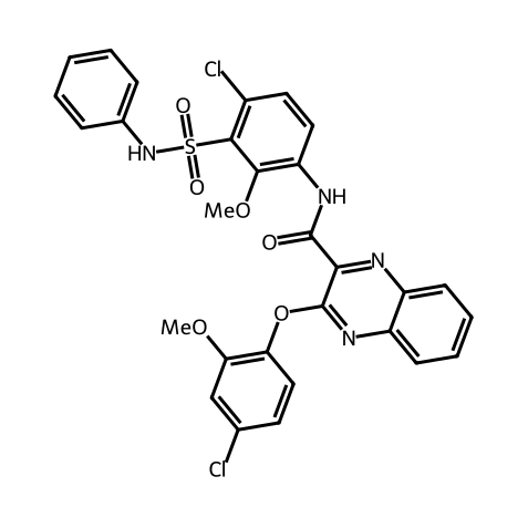 COc1cc(Cl)ccc1Oc1nc2ccccc2nc1C(=O)Nc1ccc(Cl)c(S(=O)(=O)Nc2ccccc2)c1OC